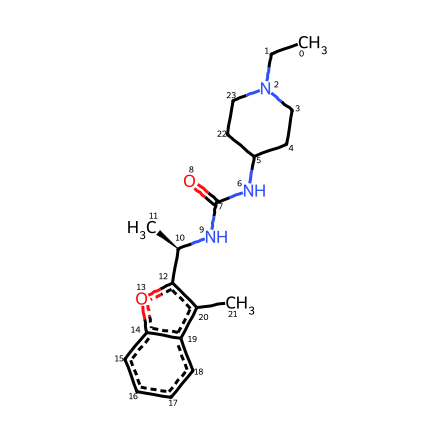 CCN1CCC(NC(=O)N[C@H](C)c2oc3ccccc3c2C)CC1